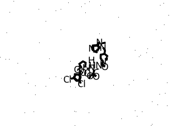 COC(=O)[C@H](CNC(=O)N1CCC(Cn2c(C)nc3cnccc32)CC1)NC(=O)[C@H]1CCCN1S(=O)(=O)c1cc(Cl)cc(Cl)c1